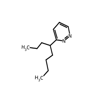 CCCCC(CCC)c1cccnn1